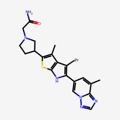 Cc1c(C2CCN(CC(N)=O)C2)sc2[nH]c(-c3cc(C)c4ncnn4c3)c(C(C)C)c12